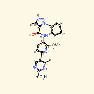 COc1nc(-c2cnc(C(=O)O)nc2C)ccc1NC(=O)c1c(C)nnn1-c1ccccc1